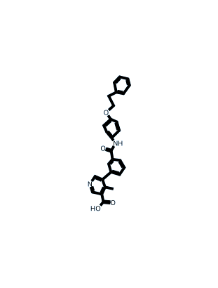 Cc1c(C(=O)O)cncc1-c1cccc(C(=O)Nc2ccc(OCCc3ccccc3)cc2)c1